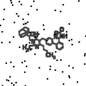 CCCCc1nc(C)n(CC(O)C23CC4CC(CC(C4)C2)C3)c(=O)c1Cc1ccc(-c2ccccc2-c2noc(=O)[nH]2)cc1